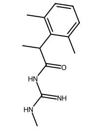 CNC(=N)NC(=O)C(C)c1c(C)cccc1C